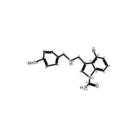 COc1ccc(CNCc2cn(C(N)=O)c3cccc(Br)c23)cc1